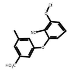 CCOc1cccc(Oc2cc(C)cc(C(=O)O)c2)c1C#N